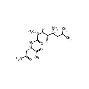 CC(C)C[C@H](N)C(=O)N[C@@H](C)C(=O)N[C@@H](CC(N)=O)C(=O)O